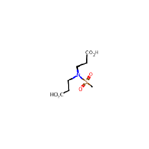 CS(=O)(=O)N(CCC(=O)O)CCC(=O)O